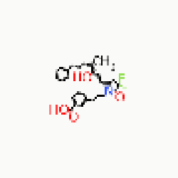 C[C@@H](CCCc1ccccc1)[C@H](O)C=C[C@H]1CC(F)(F)C(=O)N1CCCc1cccc(C(=O)O)c1